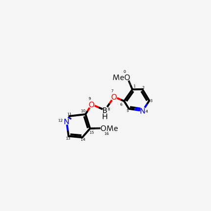 COc1ccncc1OBOc1cnccc1OC